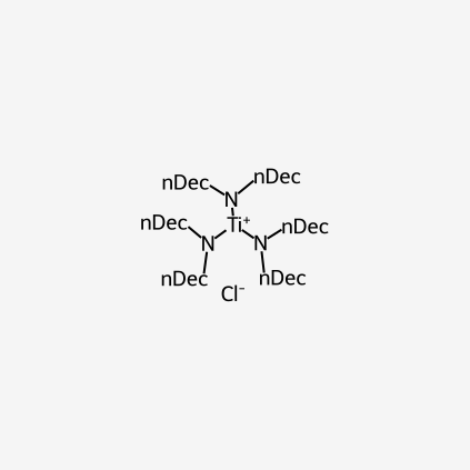 CCCCCCCCCC[N](CCCCCCCCCC)[Ti+]([N](CCCCCCCCCC)CCCCCCCCCC)[N](CCCCCCCCCC)CCCCCCCCCC.[Cl-]